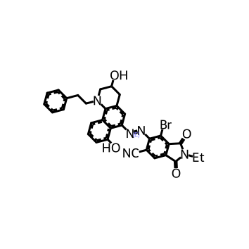 CCN1C(=O)c2cc(C#N)c(/N=N/c3cc4c(c5cccc(O)c35)N(CCc3ccccc3)CC(O)C4)c(Br)c2C1=O